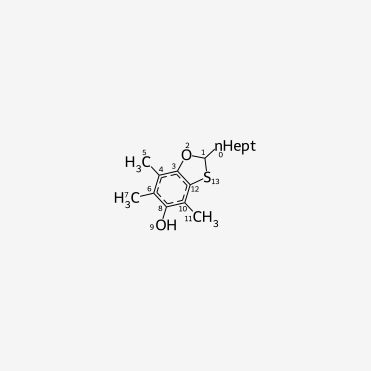 CCCCCCCC1Oc2c(C)c(C)c(O)c(C)c2S1